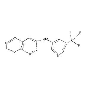 FC(F)(F)c1cncc(Nc2cnc3c(c2)C=NCC3)c1